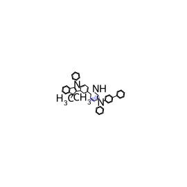 CC1(C)C2=C(c3ccccc31)N(c1ccccc1)C1=CC=C(C/C=C\C(=C/C=N)N(c3ccccc3)c3ccc(-c4ccccc4)cc3)CC12